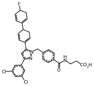 O=C(O)CCNC(=O)c1ccc(Cn2nc(-c3cc(Cl)cc(Cl)c3)cc2C2=CCC(C3=CCC(F)C=C3)C=C2)cc1